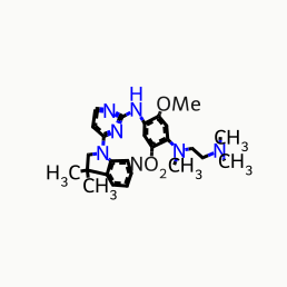 COc1cc(N(C)CCN(C)C)c([N+](=O)[O-])cc1Nc1nccc(N2CC(C)(C)c3ccccc32)n1